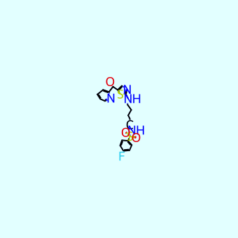 O=C(c1ccccn1)c1cnc(NCCCCCNS(=O)(=O)c2ccc(F)cc2)s1